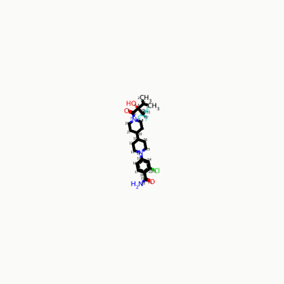 CC(C)C(O)(C(=O)N1CCC(C2CCN(c3ccc(C(N)=O)c(Cl)c3)CC2)CC1)C(F)(F)F